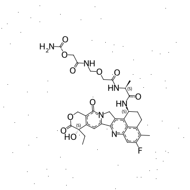 CC[C@@]1(O)C(=O)OCc2c1cc1n(c2=O)Cc2c-1nc1cc(F)c(C)c3c1c2[C@@H](NC(=O)[C@H](C)NC(=O)COCNC(=O)COC(N)=O)CC3